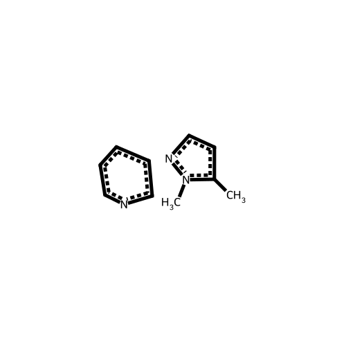 Cc1ccnn1C.c1ccncc1